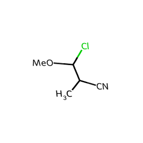 COC(Cl)C(C)C#N